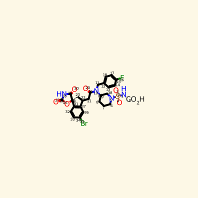 O=C(O)NS(=O)(=O)N1CCC[C@@H](N(Cc2ccc(F)cc2)C(=O)CC2C[C@@]3(OC(=O)NC3=O)c3ccc(Br)cc32)C1